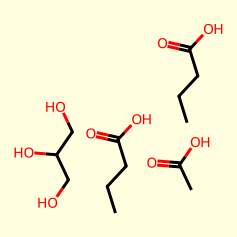 CC(=O)O.CCCC(=O)O.CCCC(=O)O.OCC(O)CO